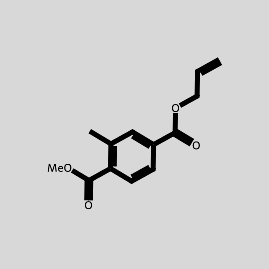 C=CCOC(=O)c1ccc(C(=O)OC)c(C)c1